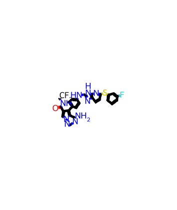 Nc1ncnn2cc(C(=O)NCC(F)(F)F)c(-c3ccc(Nc4nc5ccc(Sc6cccc(F)c6)nc5[nH]4)cc3)c12